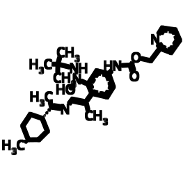 C/C(=C\N=C(/C)[C@H]1CC[C@H](C)CC1)c1ccc(NC(=O)OCc2ccccn2)cc1N(O)NC(C)(C)C